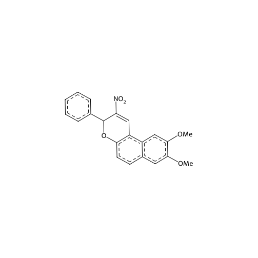 COc1cc2ccc3c(c2cc1OC)C=C([N+](=O)[O-])C(c1ccccc1)O3